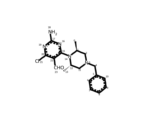 C[C@H]1CN(Cc2ccccc2)C[C@H](C)N1c1nc(N)nc(Cl)c1C=O